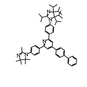 CC1=NC(C)(C)C(C)(C)N1c1ccc(-c2cc(-c3ccc(-c4ccccc4)cc3)cc(-c3ccc(N4C(C(C)C)=NC(C(C)C)(C(C)C)C4(C(C)C)C(C)C)cc3)n2)cc1